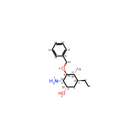 CC[C@H]1C[C@H](O)[C@H](N)[C@@H](OCc2ccccc2)[C@@H]1C